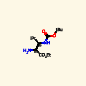 CCOC(=O)[C@@H](N)[C@H](NC(=O)OC(C)(C)C)C(C)C